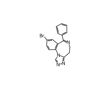 Brc1ccc2c(c1)C(c1ccccc1)=NCCc1nncn1-2